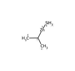 C[CH](C)[Zn][SiH3]